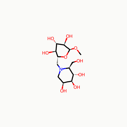 CO[C@H]1O[C@H](CN2C[C@H](O)[C@H](O)[C@@H](O)[C@@H]2CO)[C@@H](O)[C@H](O)[C@H]1O